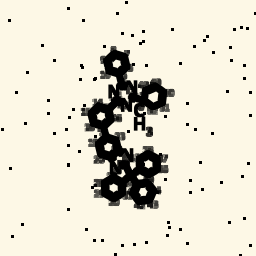 CC1(c2nc(-c3ccccc3)nc(-c3cccc(-c4ccc5c(c4)nc4n5-c5ccccc5C4(c4ccccc4)c4ccccc4)c3)n2)C=CC=CC1